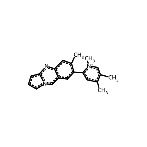 Cc1cc(-c2cc3cn4cccc4nc3cc2C)[n+](C)cc1C